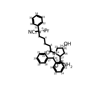 CC(C)[C@@](C#N)(CCCCC(=O)[N@@+]1(C(c2ccccc2)c2ccccc2)C[C@H](O)CC1C(N)=O)c1ccccc1